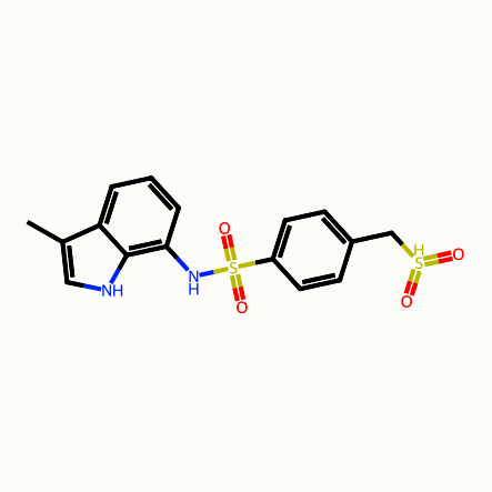 Cc1c[nH]c2c(NS(=O)(=O)c3ccc(C[SH](=O)=O)cc3)cccc12